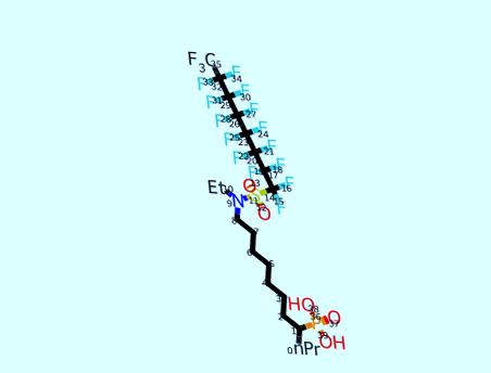 CCCC(CCCCCCCN(CC)S(=O)(=O)C(F)(F)C(F)(F)C(F)(F)C(F)(F)C(F)(F)C(F)(F)C(F)(F)C(F)(F)F)P(=O)(O)O